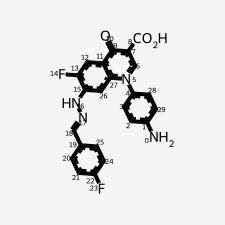 Nc1ccc(-n2cc(C(=O)O)c(=O)c3cc(F)c(NN=Cc4ccc(F)cc4)cc32)cc1